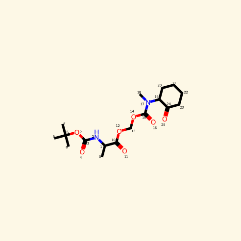 CC(NC(=O)OC(C)(C)C)C(=O)OCOC(=O)N(C)C1CCCCC1=O